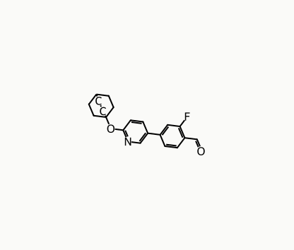 O=Cc1ccc(-c2ccc(OC34CCC(CC3)CC4)nc2)cc1F